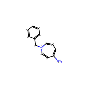 NC1=CC=CN(Cc2ccccc2)C=C1